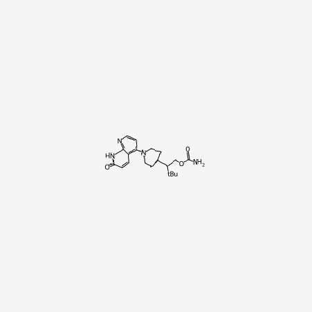 CC(C)(C)C(COC(N)=O)C1CCN(c2ccnc3[nH]c(=O)ccc23)CC1